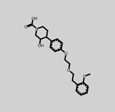 COc1ccccc1CCOCCOc1ccc(C2CCN(C(=O)O)CC2O)cc1